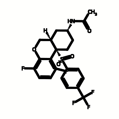 CC(=O)N[C@@H]1CC[C@@]2(S(=O)(=O)c3ccc(C(F)(F)F)cc3)c3c(F)ccc(F)c3OC[C@H]2C1